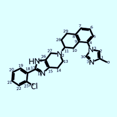 Cc1cn(-c2cccc3c2CC(N2CCc4nc(-c5ccccc5Cl)[nH]c4C2)CC3)cn1